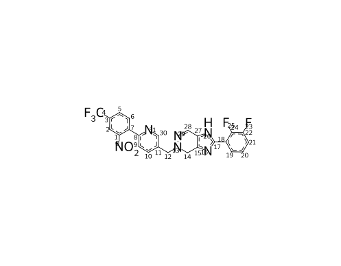 O=[N+]([O-])c1cc(C(F)(F)F)ccc1-c1ccc(CN2Cc3nc(-c4cccc(F)c4F)[nH]c3C=N2)cn1